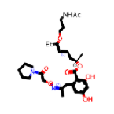 CCC(/C=C/C[C@@H](C)OC(=O)c1c(O)cc(O)cc1C/C(C)=N\OCC(=O)N1CCCCC1)OCCCNC(C)=O